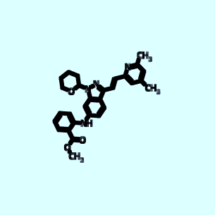 COC(=O)c1ccccc1Nc1ccc2c(C=Cc3cc(C)cc(C)n3)nn(C3CCCCO3)c2c1